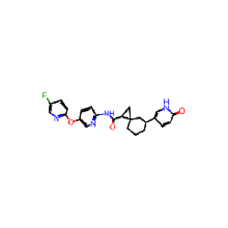 O=C(Nc1ccc(Oc2ccc(F)cn2)cn1)C1CC12CCCC(c1ccc(=O)[nH]c1)C2